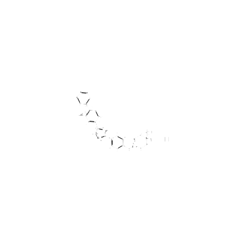 CCC1(C(=O)O)CCN(Cc2ccc(-c3noc(-c4ccc(-c5ccccc5)c(Cl)c4)n3)cc2)CC1